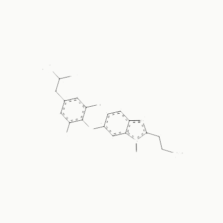 CCn1c(CCSC)nc2ccc(Oc3c(Br)cc(CC(F)C(=O)O)cc3Br)cc21